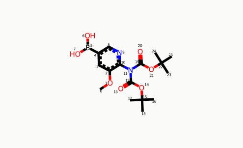 COc1cc(B(O)O)cnc1N(C(=O)OC(C)(C)C)C(=O)OC(C)(C)C